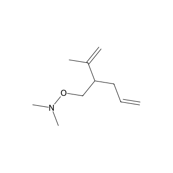 C=CCC(CON(C)C)C(=C)C